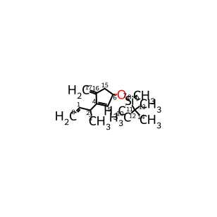 C=CC(C)C1=CC(O[Si](C)(C)C(C)(C)C)CC1=C